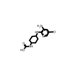 Nc1cc(Cl)cnc1NC1CCC(NC(=O)O)CC1